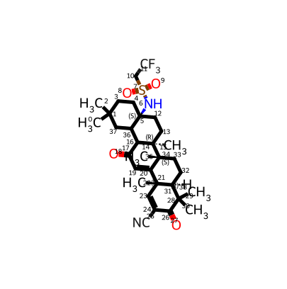 CC1(C)CC[C@]2(NS(=O)(=O)CC(F)(F)F)CC[C@]3(C)C(C(=O)C=C4[C@@]5(C)C=C(C#N)C(=O)C(C)(C)[C@@H]5CC[C@]43C)C2C1